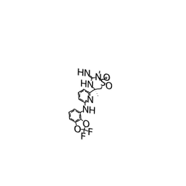 CN1C(=N)N[C@](C)(c2cccc(Nc3cccc4c3OC(F)(F)O4)n2)CS1(=O)=O